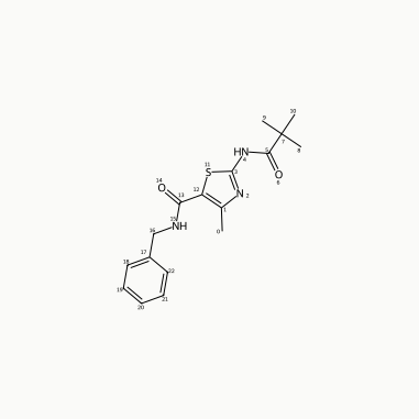 Cc1nc(NC(=O)C(C)(C)C)sc1C(=O)NCc1ccccc1